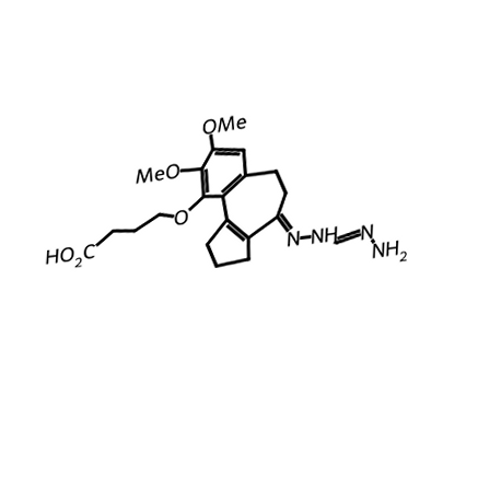 COc1cc2c(c(OCCCC(=O)O)c1OC)C1=C(CCC1)C(=NNC=NN)CC2